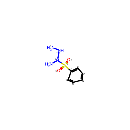 NNN(N)S(=O)(=O)c1ccccc1